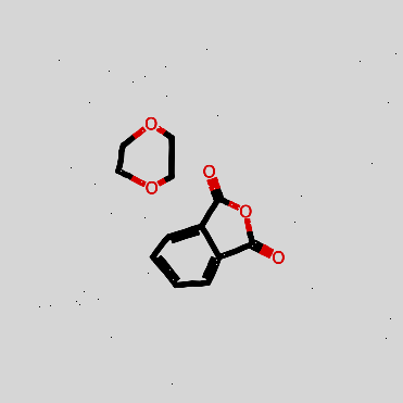 C1COCCO1.O=C1OC(=O)c2ccccc21